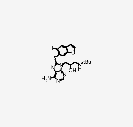 CC(C)(C)NCC(O)Cn1c(Sc2cc3occc3cc2I)nc2c(N)ncnc21